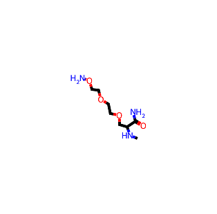 CNC(COCCOCCON)C(N)=O